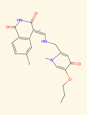 CCCOc1cn(C)c(CN/C=C2/C(=O)NC(=O)c3ccc(I)cc32)cc1=O